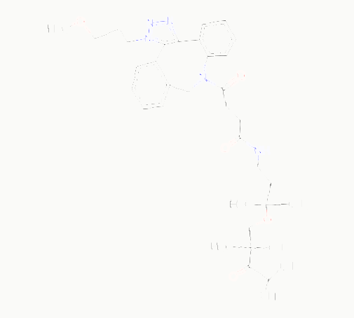 COCCCn1nnc2c1-c1ccccc1CN(C(=O)CCC(=O)NCCC(C)(C)OCC(C)(C)C(=O)C(C)C)c1ccccc1-2